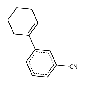 N#Cc1cccc(C2=CCCCC2)c1